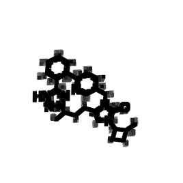 CCCCc1cn(C2CCC2C)c(=O)n1Cc1ccc(-c2ccccc2-c2nnn[nH]2)nc1